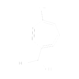 CC(C)C1=C=CC=C(O)C=C1